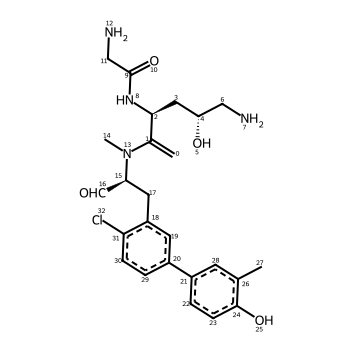 C=C([C@H](C[C@@H](O)CN)NC(=O)CN)N(C)[C@H](C=O)Cc1cc(-c2ccc(O)c(C)c2)ccc1Cl